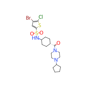 O=C([C@H]1CC[C@H](NS(=O)(=O)c2cc(Br)c(Cl)s2)CC1)N1CCN(C2CCCC2)CC1